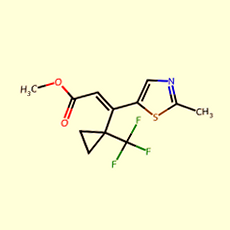 COC(=O)C=C(c1cnc(C)s1)C1(C(F)(F)F)CC1